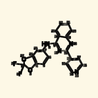 FC1(F)Oc2ccc(Nc3nc(-c4ccncc4)nc4ccccc34)cc2O1